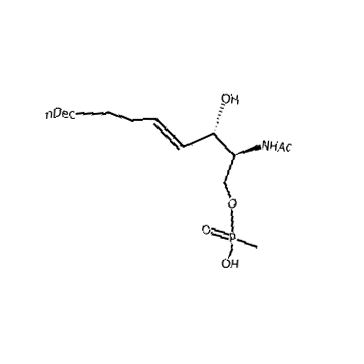 CCCCCCCCCCCC/C=C/[C@H](O)[C@H](COP(C)(=O)O)NC(C)=O